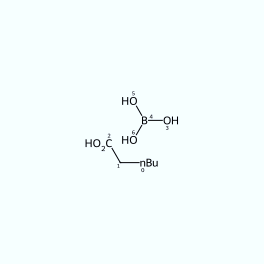 CCCCCC(=O)O.OB(O)O